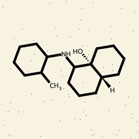 CC1CCCCC1NC1CCC[C@H]2CCCC[C@]12O